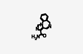 NC(=O)c1ncn2c1C=NCc1ccccc1-2